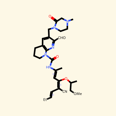 CC/C=C/C(C#N)=C(\C=C(/C)NC(=O)N1CCCc2cc(CN3CCN(C)CC3=O)c(C=O)nc21)OC(C)COC